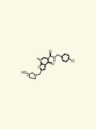 Cn1cc(C(=O)NCc2ccc(Cl)cc2)c(=O)c2cc(CN3CC[C@@H](O)C3)oc21